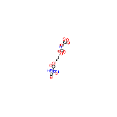 COc1ccc2c(c1)C(=O)NC(c1ccc(OCCCCCCCCOc3c(OC)cc(C4=NOC(c5cc(OC)c(OC)c(OC)c5)C4)cc3OC)c(OC)c1)N2